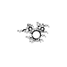 CCCCO[C@H]1[C@H](C)O[C@@H](O[C@H]2[C@H](C)[C@@H](O[C@@H]3O[C@H](C)C[C@H](N(C)C)[C@H]3OC(C)=O)[C@](C)(O)C[C@@H](C)CN(C)[C@H](C)[C@@H](OC)[C@](C)(O)[C@@H](CC)OC(=O)[C@@H]2C)C[C@@]1(C)OC